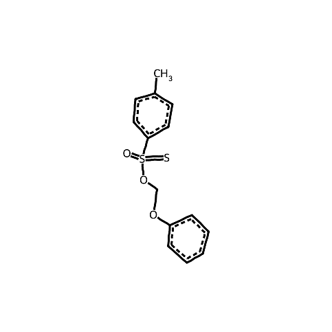 Cc1ccc(S(=O)(=S)OCOc2ccccc2)cc1